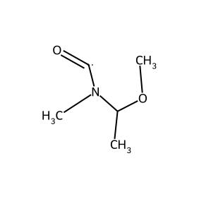 COC(C)N(C)[C]=O